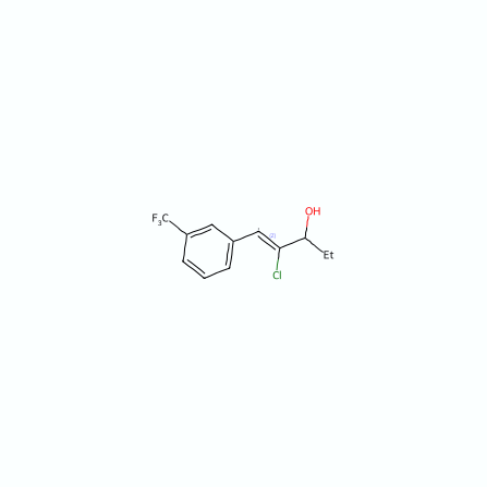 CCC(O)/C(Cl)=[C]/c1cccc(C(F)(F)F)c1